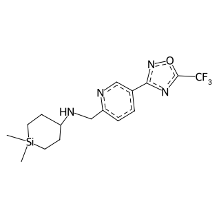 C[Si]1(C)CCC(NCc2ccc(-c3noc(C(F)(F)F)n3)cn2)CC1